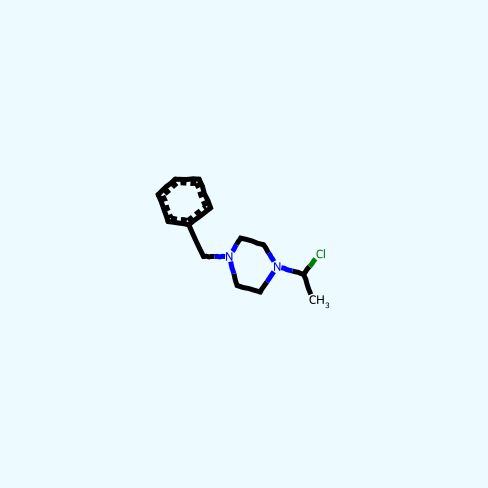 CC(Cl)N1CCN(Cc2ccccc2)CC1